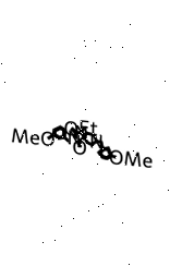 CCN1C(=O)N(Cc2cccc(OC)c2)C(=O)C12CCN(Cc1cccc(OC)c1)CC2